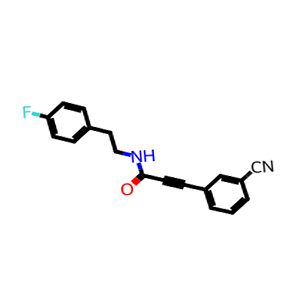 N#Cc1cccc(C#CC(=O)NCCc2ccc(F)cc2)c1